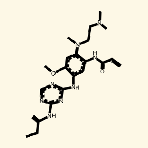 C=CC(=O)Nc1cc(Nc2ncnc(NC(=C)CC)n2)c(OC)cc1N(C)CCN(C)C